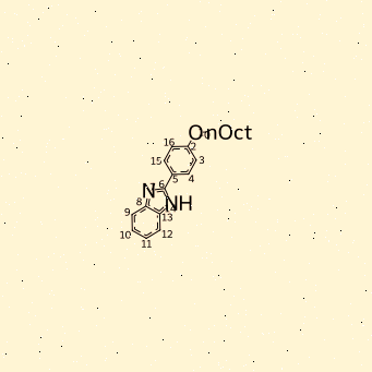 CCCCCCCCOc1ccc(-c2nc3ccccc3[nH]2)cc1